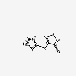 O=C1OCC=C1Cc1c[nH]cn1